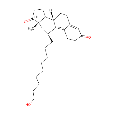 C[C@]12C[C@H](CCCCCCCCCO)C3=C4CCC(=O)C=C4CC[C@H]3[C@@H]1CCC2=O